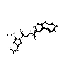 O=C(NCC(=O)N1CC(OC(F)F)CC1C(=O)O)c1ccc2c(c1)-c1ccccc1C2